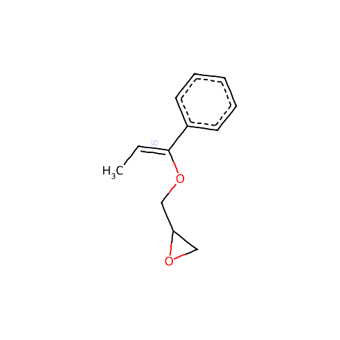 C/C=C(\OCC1CO1)c1ccccc1